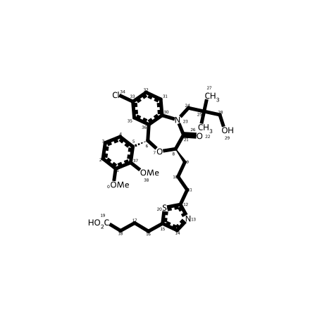 COc1cccc([C@H]2O[C@H](CCCc3ncc(CCCC(=O)O)s3)C(=O)N(CC(C)(C)CO)c3ccc(Cl)cc32)c1OC